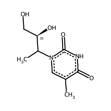 Cc1cn(C(C)[C@H](O)CO)c(=O)[nH]c1=O